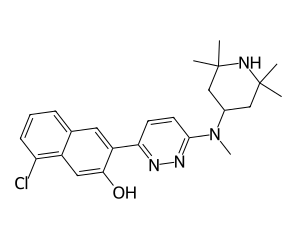 CN(c1ccc(-c2cc3cccc(Cl)c3cc2O)nn1)C1CC(C)(C)NC(C)(C)C1